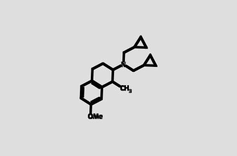 COc1ccc2c(c1)C(C)C(N(CC1CC1)CC1CC1)CC2